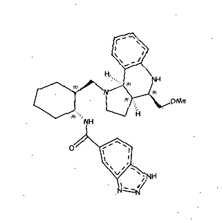 COC[C@@H]1Nc2ccccc2[C@H]2[C@@H]1CCN2C[C@@H]1CCCC[C@H]1NC(=O)c1ccc2[nH]nnc2c1